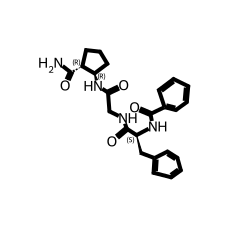 NC(=O)[C@@H]1CCC[C@H]1NC(=O)CNC(=O)[C@H](Cc1ccccc1)NC(=O)c1ccccc1